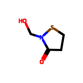 O=C1CCSN1CO